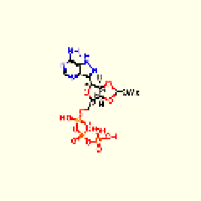 COC1O[C@@H]2[C@H](O1)[C@@H](COP(=O)(O)OP(=O)(O)OP(=O)(O)O)O[C@H]2c1n[nH]c2c(N)ncnc12